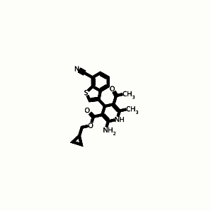 CC(=O)C1=C(C)NC(N)=C(C(=O)OCC2CC2)C1c1csc2c(C#N)cccc12